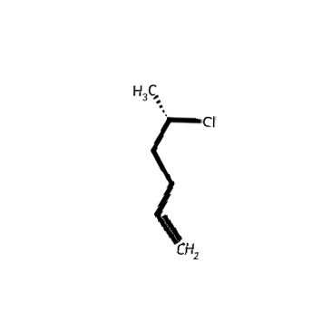 C=CCC[C@H](C)Cl